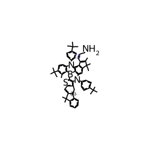 CC1=C(/C=C\CN)c2c(cc3c4c2N(c2ccc(C(C)(C)C)cc2)c2ccc(C(C)(C)C)c(C)c2B4c2sc4c(c2N3c2ccc(C(C)(C)C)cc2)C[C@]2(C)C(=C4)C(C)(C)c3ccccc32)C1(C)C